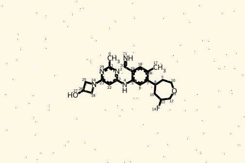 Cc1nc(Nc2cc(C3CCOCC(F)C3)c(C)cc2C=N)cc(N2CC(O)C2)n1